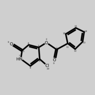 O=C(Oc1cc(=O)[nH]cc1Cl)c1ccccc1